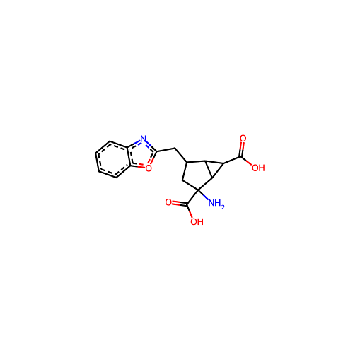 NC1(C(=O)O)CC(Cc2nc3ccccc3o2)C2C(C(=O)O)C21